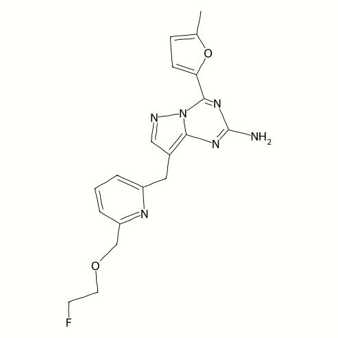 Cc1ccc(-c2nc(N)nc3c(Cc4cccc(COCCF)n4)cnn23)o1